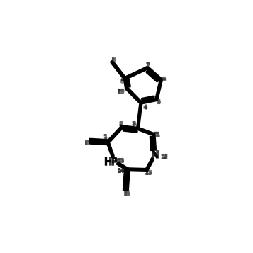 C=C1/C=C(c2cccc(C)c2)\C=N/CC(=C)P1